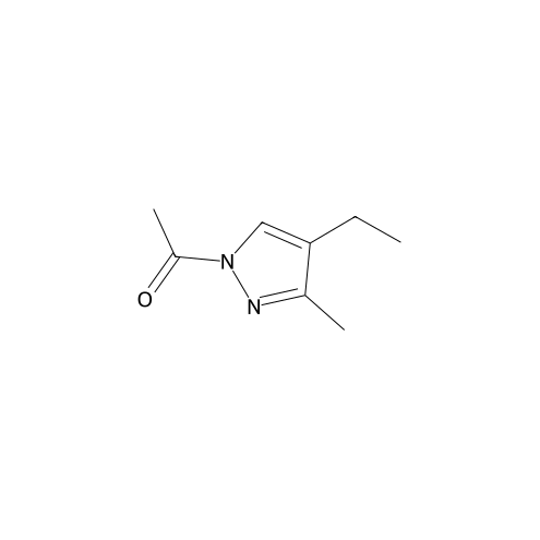 CCc1cn(C(C)=O)nc1C